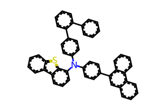 c1ccc(-c2ccccc2-c2ccc(N(c3ccc(-c4cc5ccccc5c5ccccc45)cc3)c3cccc4c3sc3ccccc34)cc2)cc1